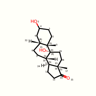 C[C@]12CCC(O)C[C@H]1CC[C@H]1[C@@H]3CCC(=O)[C@@]3(C)CC[C@@]12O